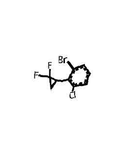 FC1(F)CC1c1c(Cl)cccc1Br